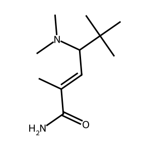 C/C(=C\C(N(C)C)C(C)(C)C)C(N)=O